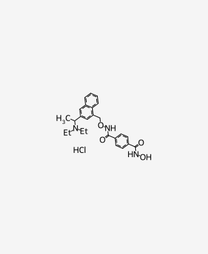 CCN(CC)C(C)c1cc(CONC(=O)c2ccc(C(=O)NO)cc2)c2ccccc2c1.Cl